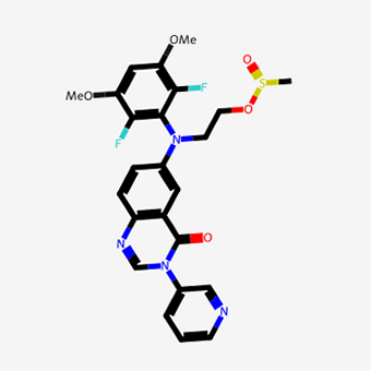 COc1cc(OC)c(F)c(N(CCOS(C)=O)c2ccc3ncn(-c4cccnc4)c(=O)c3c2)c1F